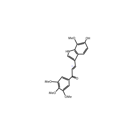 COc1cc(C(=O)/C=C/c2c[nH]c3c(OC)c(O)ccc23)cc(OC)c1OC